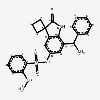 COc1ccccc1S(=O)(=O)Nc1cc(C(C)c2cccnc2)c2c(c1)C1(CCC1)C(=O)N2